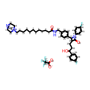 O=C(CCCCCCCCCCC[N+]12CCN(CC1)CC2)NCc1ccc(C2C(CCC(O)c3ccc(F)cc3)C(=O)N2c2ccc(F)cc2)cc1.O=C([O-])C(F)(F)F